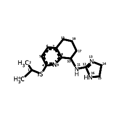 CC(C)Sc1ccc2c(n1)C(NC1=NCCN1)CCC2